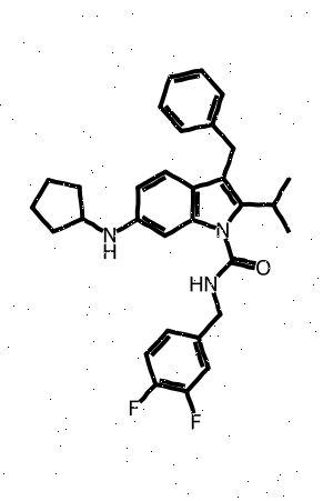 CC(C)c1c(Cc2ccccc2)c2ccc(NC3CCCC3)cc2n1C(=O)NCc1ccc(F)c(F)c1